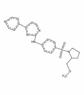 COCC1CCCN1S(=O)(=O)c1ccc(Nc2nccc(-c3ccncc3)n2)cc1